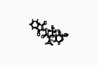 O=C1c2ccccc2C(=O)N1CC(=O)N(C1CC1)C(c1cccc(Br)c1F)C(F)(F)F